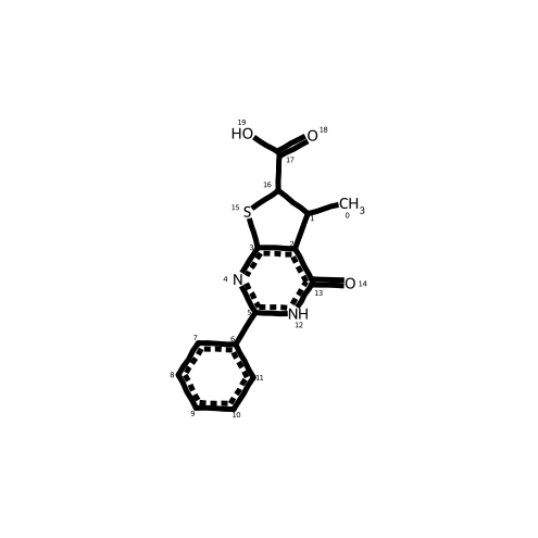 CC1c2c(nc(-c3ccccc3)[nH]c2=O)SC1C(=O)O